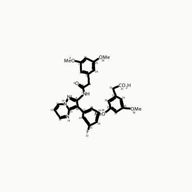 COc1cc(CC(=O)Nc2nn3cccnc3c2-c2cccc(F)c2)cc(OC)c1.COc1cc(CC(=O)O)cc(OC)c1